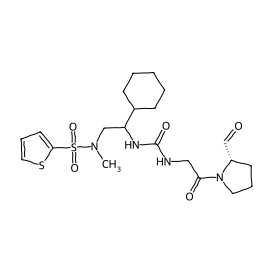 CN(CC(NC(=O)NCC(=O)N1CCC[C@H]1C=O)C1CCCCC1)S(=O)(=O)c1cccs1